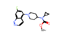 CC(C)(C)OC(=O)N(C1CC1)C1CCN(c2cc(F)cc3nnccc23)CC1